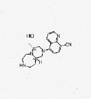 C[C@@H]1CN(c2ccc(C#N)c3ncccc23)C[C@@H]2CCNCCN21.Cl